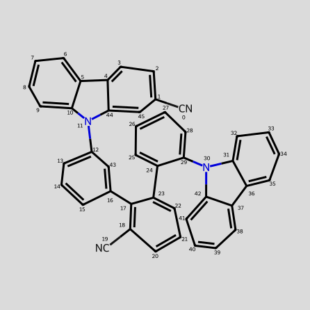 N#Cc1ccc2c3ccccc3n(-c3cccc(-c4c(C#N)cccc4-c4ccccc4-n4c5ccccc5c5ccccc54)c3)c2c1